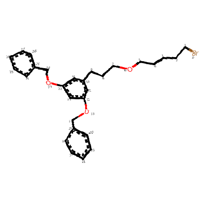 BrCCCCCOCCCc1cc(OCc2ccccc2)cc(OCc2ccccc2)c1